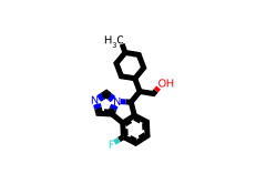 CC1CCC(C(CO)C2c3cccc(F)c3-c3cncn32)CC1